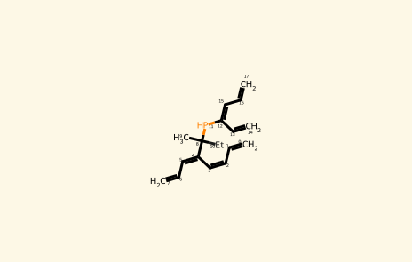 C=C/C=C\C(=C/C=C)C(C)(CC)P/C(C=C)=C/C=C